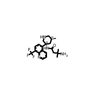 C[C@@H]1CNC[C@](NC(=O)CC(C)(C)N)(c2ccc(C(F)(F)F)c3ncccc23)C1